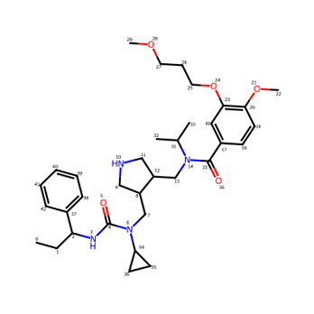 CCC(NC(=O)N(CC1CNCC1CN(C(=O)c1ccc(OC)c(OCCCOC)c1)C(C)C)C1CC1)c1ccccc1